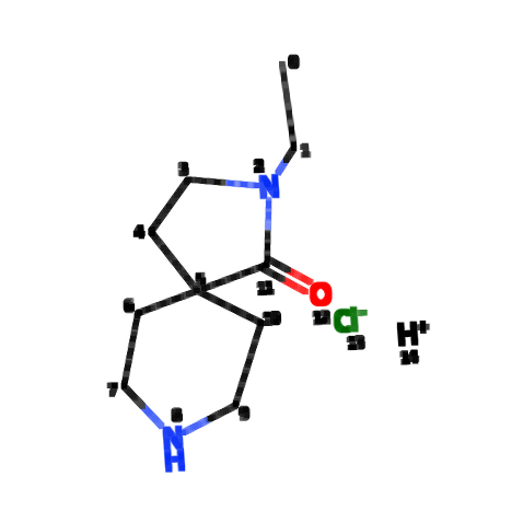 CCN1CCC2(CCNCC2)C1=O.[Cl-].[H+]